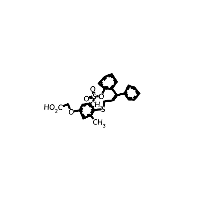 Cc1cc(OCC(=O)O)ccc1SCC=C(c1ccccc1)c1ccccc1OS(C)(=O)=O